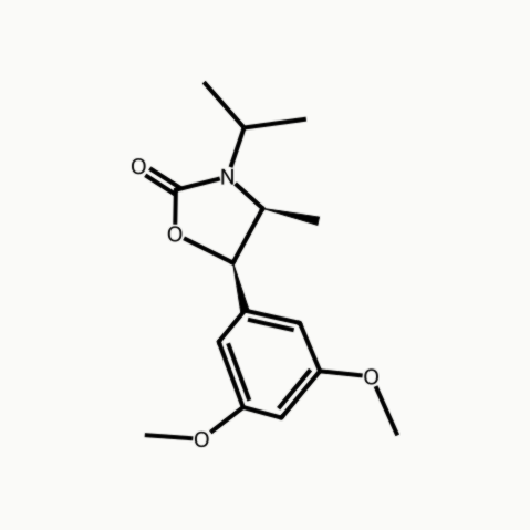 COc1cc(OC)cc([C@H]2OC(=O)N(C(C)C)[C@H]2C)c1